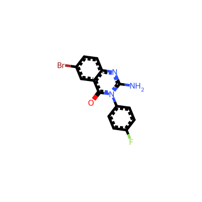 Nc1nc2ccc(Br)cc2c(=O)n1-c1ccc(F)cc1